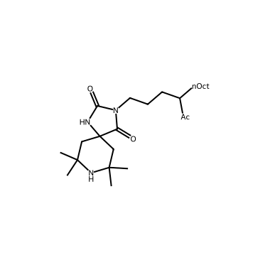 CCCCCCCCC(CCCN1C(=O)NC2(CC(C)(C)NC(C)(C)C2)C1=O)C(C)=O